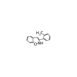 Cc1ccccc1C1=Cc2ccccc2ON1